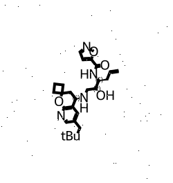 C=CC[C@H](NC(=O)c1ccno1)[C@H](O)CN[C@H]1CC2(CCC2)Oc2ncc(CC(C)(C)C)cc21